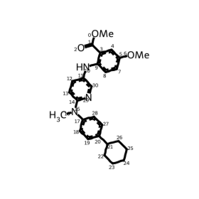 COC(=O)c1cc(OC)ccc1Nc1ccc(N(C)c2ccc(C3CCCCC3)cc2)nc1